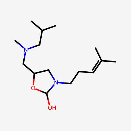 CC(C)=CCCN1CC(CN(C)CC(C)C)OC1O